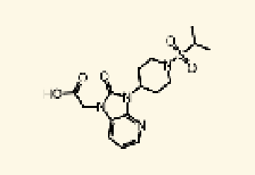 CC(C)S(=O)(=O)N1CCC(n2c(=O)n(CC(=O)O)c3cccnc32)CC1